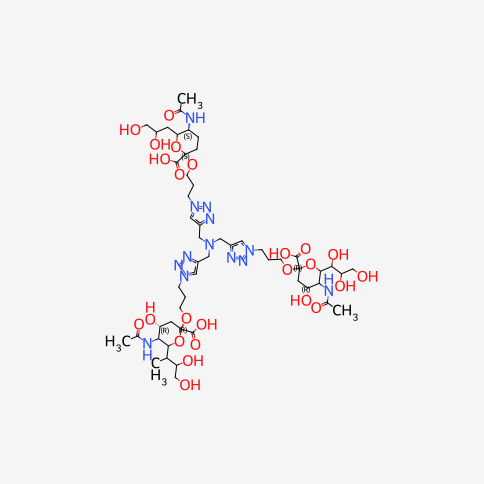 CC(=O)NC1C(C(C)C(O)CO)O[C@@](OCCCn2cc(CN(Cc3cn(CCCO[C@@]4(C(=O)O)CC[C@H](NC(C)=O)C(CC(O)CO)O4)nn3)Cc3cn(CCCO[C@]4(C(=O)O)C[C@@H](O)C(NC(C)=O)C(C(O)C(O)CO)O4)nn3)nn2)(C(=O)O)C[C@H]1O